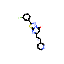 O=c1cc(/C=C/c2cccnc2)nc2sc(-c3cccc(F)c3)nn12